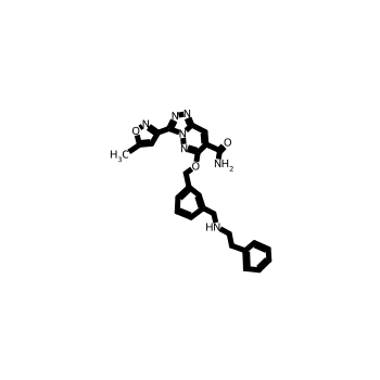 Cc1cc(-c2nnc3cc(C(N)=O)c(OCc4cccc(CNCCc5ccccc5)c4)nn23)no1